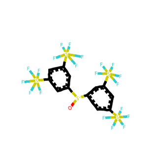 [O-][S+](c1cc(S(F)(F)(F)(F)F)cc(S(F)(F)(F)(F)F)c1)c1cc(S(F)(F)(F)(F)F)cc(S(F)(F)(F)(F)F)c1